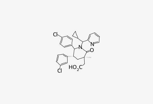 C[C@]1(CC(=O)O)C[C@H](c2cccc(Cl)c2)C(c2ccc(Cl)cc2)N(C(c2ccccn2)C2CC2)C1=O